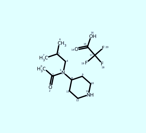 CC(=O)N(CC(C)C)C1CCNCC1.O=C(O)C(F)(F)F